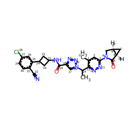 Cc1cc(N2C[C@H]3C[C@H]3C2=O)nnc1C(C)n1cc(C(=O)NC2CC(c3cc(Cl)ccc3C#N)C2)nn1